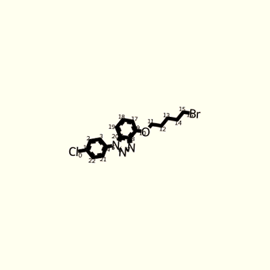 Clc1ccc(-n2nnc3c(OCCCCCBr)cccc32)cc1